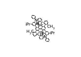 Cc1cccc(C)c1-c1cc2c3c(cc4c(-c5c(C)cccc5C)cc5c6c(cc1c3c46)B1c3ccccc3N(c3ccccc3)c3cc(C(C)C)cc-5c31)B1c3ccccc3N(c3ccccc3)c3cc(C(C)C)cc-2c31